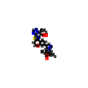 CC(CO)n1ncnc1-c1nc2c(s1)CCOc1cc(-c3cnn(CC(C)(C)O)c3)ccc1-2